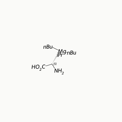 CC(C)[C@H](N)C(=O)O.CCC[CH2][Mg][CH2]CCC